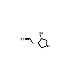 C=CC[C@H]1CNC[C@@H]1O